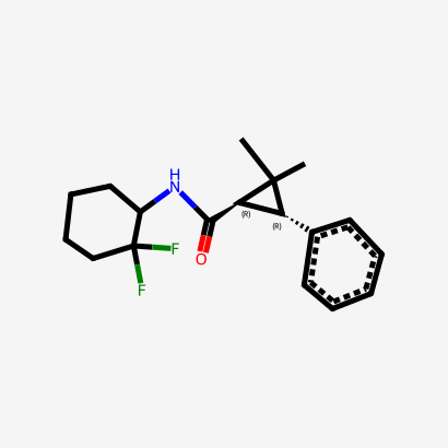 CC1(C)[C@H](C(=O)NC2CCCCC2(F)F)[C@H]1c1ccccc1